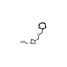 OC[C@@H]1C[C@@H](COCc2ccccc2)O1